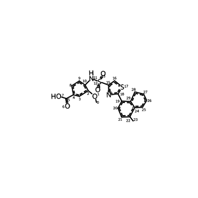 COc1cc(C(=O)O)ccc1NS(=O)(=O)c1csc(-c2ccc(C)c3ccccc23)n1